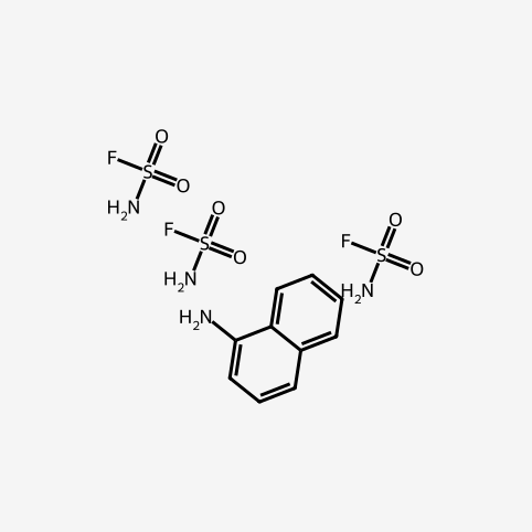 NS(=O)(=O)F.NS(=O)(=O)F.NS(=O)(=O)F.Nc1cccc2ccccc12